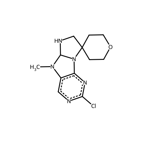 CN1c2cnc(Cl)nc2N2C1NCC21CCOCC1